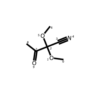 COC(C#N)(OC)C(C)=O